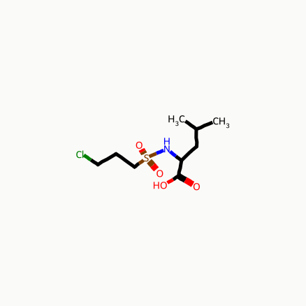 CC(C)CC(NS(=O)(=O)CCCCl)C(=O)O